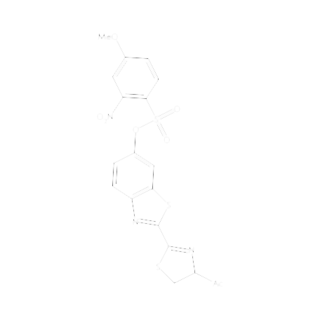 COc1ccc(S(=O)(=O)Oc2ccc3nc(C4=NC(C(C)=O)CS4)sc3c2)c([N+](=O)[O-])c1